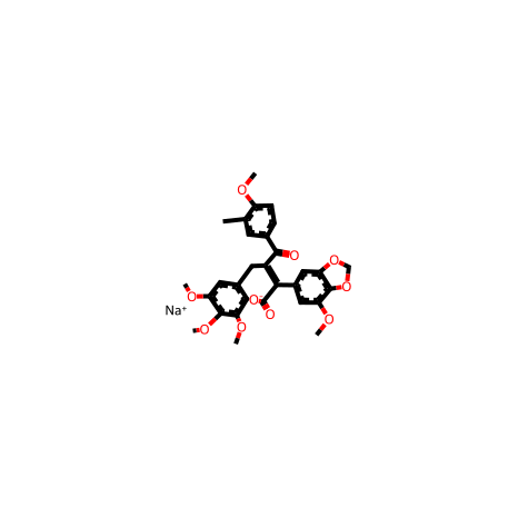 COc1ccc(C(=O)C(Cc2cc(OC)c(OC)c(OC)c2)=C(C(=O)[O-])c2cc(OC)c3c(c2)OCO3)cc1C.[Na+]